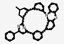 CC1C=c2cc(c3nc(-c4ccccc4)cc(n3)c3cccc(c3)c3ccc4sc5ccccc5n(c5cccc2c5)-c4c3)C1